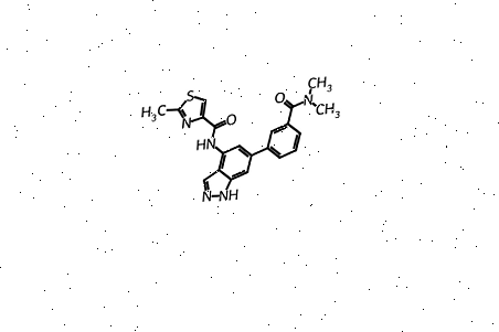 Cc1nc(C(=O)Nc2cc(-c3cccc(C(=O)N(C)C)c3)cc3[nH]ncc23)cs1